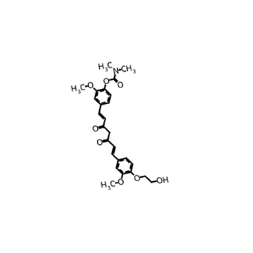 COc1cc(/C=C/C(=O)CC(=O)/C=C/c2ccc(OC(=O)N(C)C)c(OC)c2)ccc1OCCO